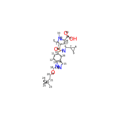 Cc1c(S(=O)(=NCC2CC2)c2ccc3c(cnn3COCC[Si](C)(C)C)c2)cc(C(=O)O)n1C